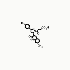 Cc1ccc2cc(C3CC(c4ccc(Br)cc4)=NN3C(=O)CCC(=O)O)c(=O)[nH]c2c1